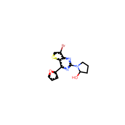 OC1CCCN1c1nc(-c2ccco2)c2scc(Br)c2n1